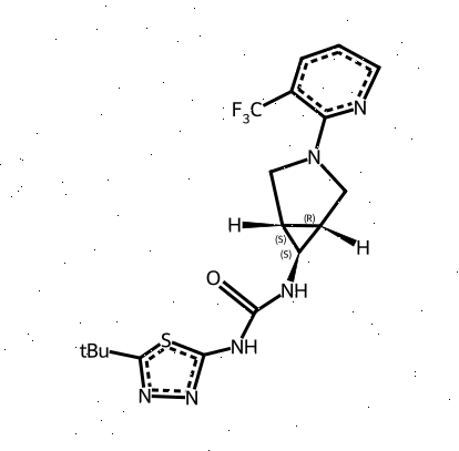 CC(C)(C)c1nnc(NC(=O)N[C@H]2[C@@H]3CN(c4ncccc4C(F)(F)F)C[C@@H]32)s1